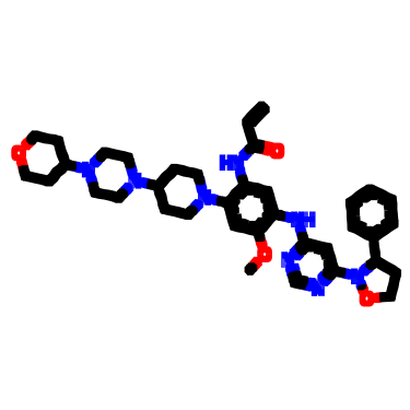 C=CC(=O)Nc1cc(Nc2cc(N3OCCC3c3ccccc3)ncn2)c(OC)cc1N1CCC(N2CCN(C3CCOCC3)CC2)CC1